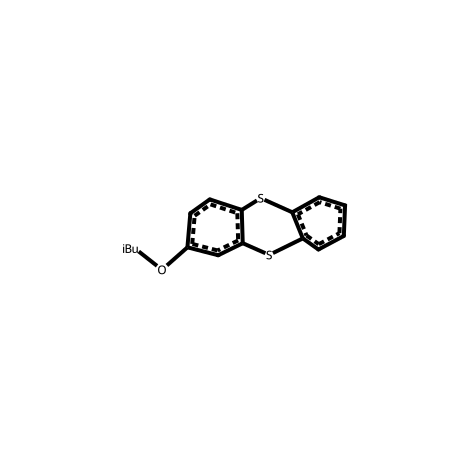 CCC(C)Oc1ccc2c(c1)Sc1ccccc1S2